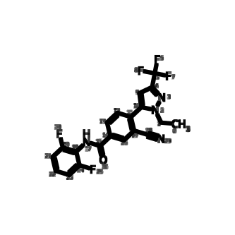 CCn1nc(C(F)(F)F)cc1-c1ccc(C(=O)Nc2c(F)cccc2F)cc1C#N